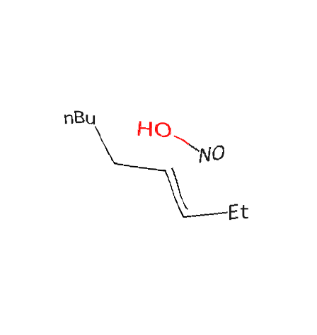 CCC=CCCCCC.O=NO